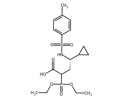 CCOP(=O)(OCC)C(C[C@H](NS(=O)(=O)c1ccc(C)cc1)C1CC1)C(=O)O